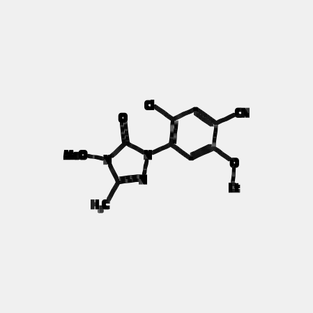 CCOc1cc(-n2nc(C)n(OC)c2=O)c(Cl)cc1C#N